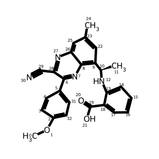 COc1ccc(-c2nc3c([C@@H](C)Nc4ccccc4C(=O)O)cc(C)cc3nc2C#N)cc1